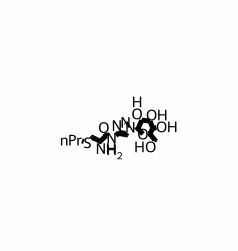 [CH2][CH]CSC[C@@H](N)C(=O)Nc1cn([C@H]2OC(CO)C(O)C(O)C2O)nn1